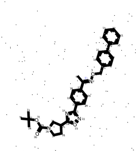 C/C(=N\OCc1ccc(-c2ccccc2)cc1)c1ccc(-c2noc(C3CCN(C(=O)OC(C)(C)C)C3)n2)cc1